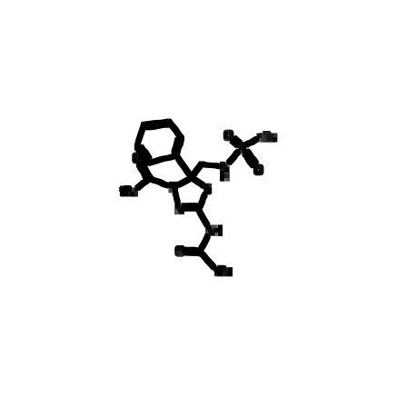 CCCCS(=O)(=O)NCC1(c2ccccc2)SC(NC(=O)C(C)(C)C)=NN1C(=O)C(C)(C)C